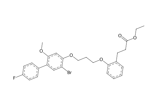 CCOC(=O)CCc1ccccc1OCCCOc1cc(OC)c(-c2ccc(F)cc2)cc1Br